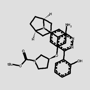 CC(C)(C)OC(=O)N1CC[C@H](Oc2cccc(N3[C@@H]4CC[C@H]3CN(c3cc(-c5ccccc5O)nnc3N)C4)c2)C1